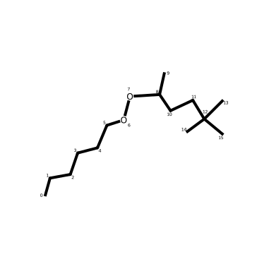 CCCCCCOOC(C)CCC(C)(C)C